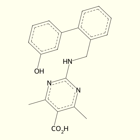 Cc1nc(NCc2ccccc2-c2cccc(O)c2)nc(C)c1C(=O)O